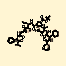 CCC[C@H](NC(=O)[C@@H]1CN(C(=O)OC(C)(C)C)C[C@@H]1NC(=O)[C@@H](NC(=O)[C@@H](NC(=O)c1cnccn1)C1CCCCC1)C(C)(C)C)C(=O)C(=O)NCC(=O)N[C@H](C(=O)N(C)C)c1ccccc1